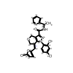 C[C@@H](NC(=O)c1nn(-c2ccc(Cl)cc2Cl)c2c1COC/C2=C\c1ccc(Cl)o1)c1ccccn1